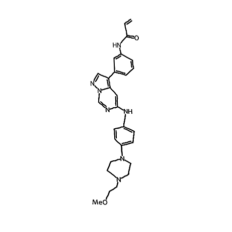 C=CC(=O)Nc1cccc(-c2cnn3cnc(Nc4ccc(N5CCN(CCOC)CC5)cc4)cc23)c1